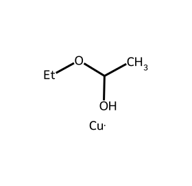 CCOC(C)O.[Cu]